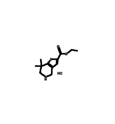 CCOC(=O)c1cc2c(s1)C(C)(C)CNC2.Cl